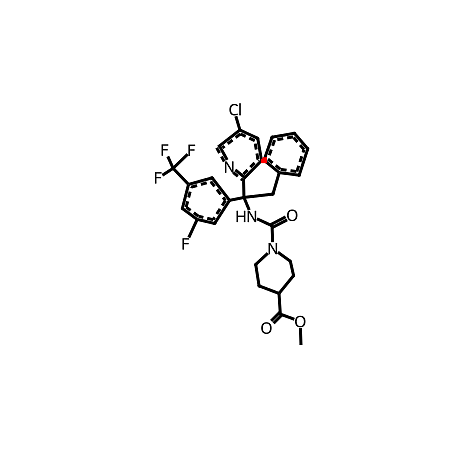 COC(=O)C1CCN(C(=O)NC(Cc2ccccc2)(c2cc(F)cc(C(F)(F)F)c2)c2ccc(Cl)cn2)CC1